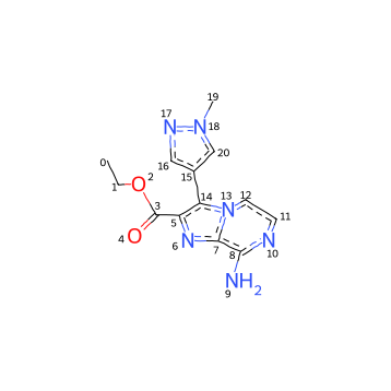 CCOC(=O)c1nc2c(N)nccn2c1-c1cnn(C)c1